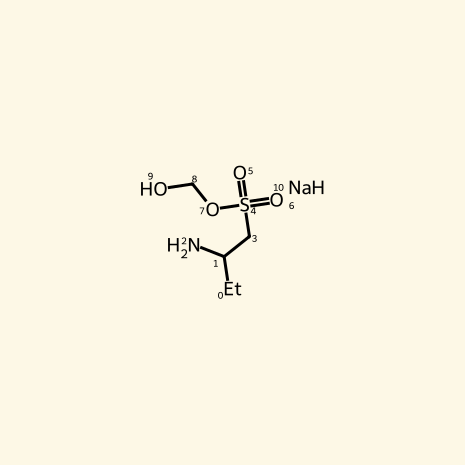 CCC(N)CS(=O)(=O)OCO.[NaH]